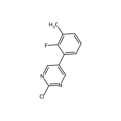 Cc1cccc(-c2cnc(Cl)nc2)c1F